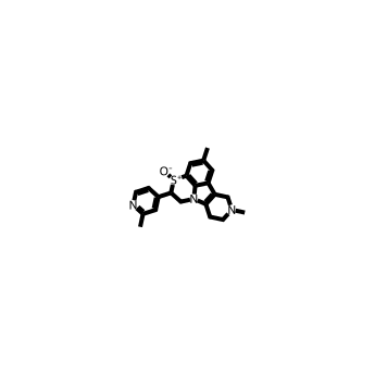 Cc1cc2c3c(c1)c1c(n3CC(c3ccnc(C)c3)[S+]2[O-])CCN(C)C1